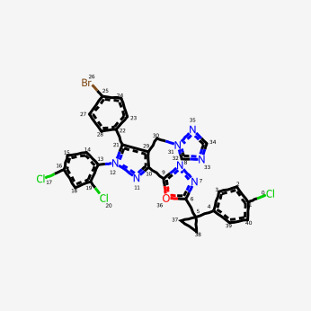 Clc1ccc(C2(c3nnc(-c4nn(-c5ccc(Cl)cc5Cl)c(-c5ccc(Br)cc5)c4Cn4cncn4)o3)CC2)cc1